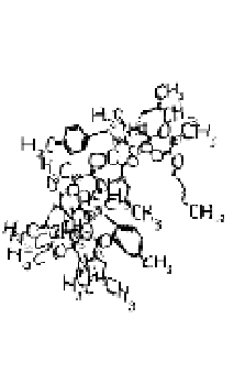 CCCCOC(=O)[C@H](C)OC(=O)[C@@H](CC(C)C)N(C)C(=O)[C@H](Cc1ccc(C)cc1)OC(=O)[C@@H](CC(C)C)N(C)C(=O)[C@H](C)OC(=O)[C@@H](CC(C)C)N(C)C(=O)[C@H](Cc1ccc(C)cc1)OC(=O)[C@@H](CC(C)C)N(C)C(=O)OC(C)(C)C